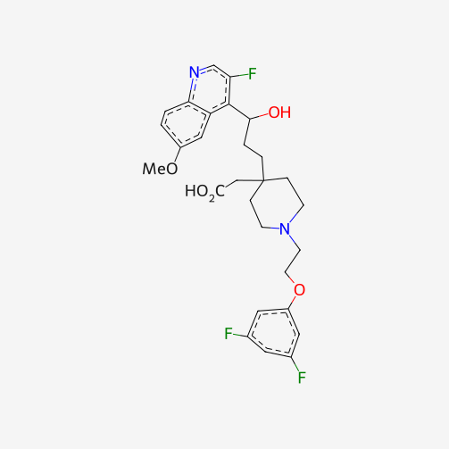 COc1ccc2ncc(F)c(C(O)CCC3(CC(=O)O)CCN(CCOc4cc(F)cc(F)c4)CC3)c2c1